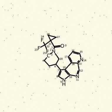 O=C(N1CCCC(c2c[nH]c3ncc4ncccc4c23)C1)C1(C(F)(F)F)CC1